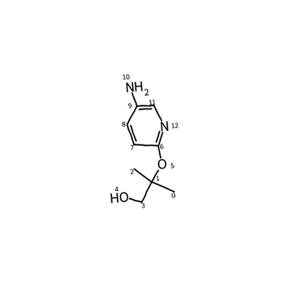 CC(C)(CO)Oc1ccc(N)cn1